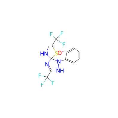 CNC1([S+]([O-])CC(F)(F)F)N=C(C(F)(F)F)NN1c1ccccc1